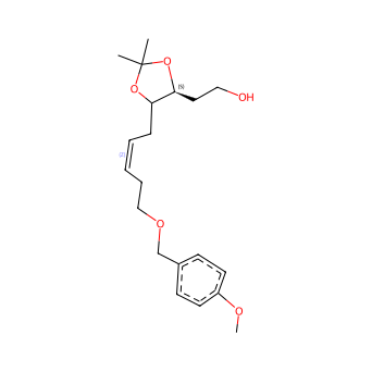 COc1ccc(COCC/C=C\CC2OC(C)(C)O[C@H]2CCO)cc1